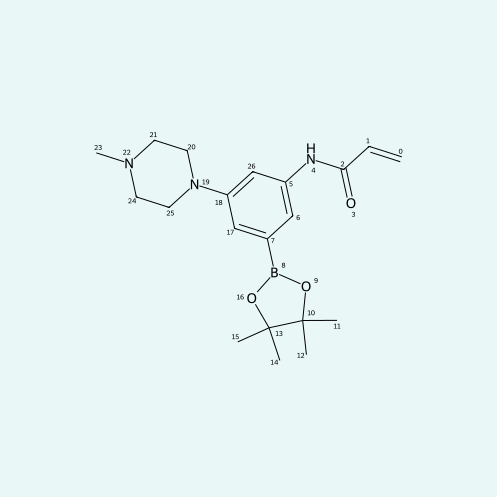 C=CC(=O)Nc1cc(B2OC(C)(C)C(C)(C)O2)cc(N2CCN(C)CC2)c1